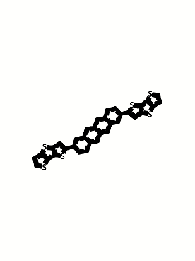 c1cc2sc3cc(-c4ccc5cc6cc7cc(-c8cc9sc%10ccsc%10c9s8)ccc7cc6cc5c4)sc3c2s1